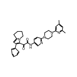 Cc1cc(C)nc(N2CCN(c3ccc(NC(=O)C(=O)c4c(-c5ccccc5)cc5n4CCCC5)cn3)CC2)c1